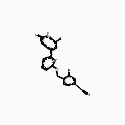 Cc1cc(-c2cccc(OCc3ccc(C#N)cc3F)n2)cc(=O)[nH]1